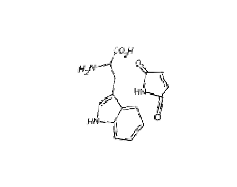 NC(Cc1c[nH]c2ccccc12)C(=O)O.O=C1C=CC(=O)N1